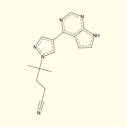 CC(C)(CCC#N)n1cc(-c2ncnc3[nH]ccc23)cn1